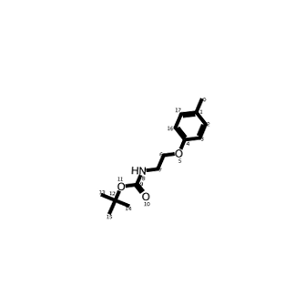 Cc1ccc(OCCNC(=O)OC(C)(C)C)cc1